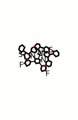 CC(C)(c1c(-n2c3ccccc3c3c4c(ccc32)sc2ccccc24)c(-c2ccc(F)cc2)cc(-c2ccc(F)cc2)c1-n1c2ccccc2c2c3c(ccc21)sc1ccccc13)n1c2ccccc2c2ccccc21